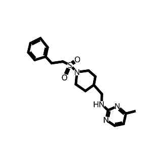 Cc1ccnc(NCC2CCN(S(=O)(=O)CCc3ccccc3)CC2)n1